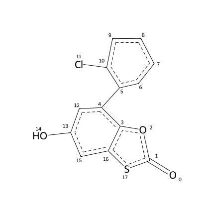 O=c1oc2c(-c3ccccc3Cl)cc(O)cc2s1